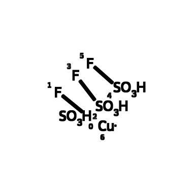 O=S(=O)(O)F.O=S(=O)(O)F.O=S(=O)(O)F.[Cu]